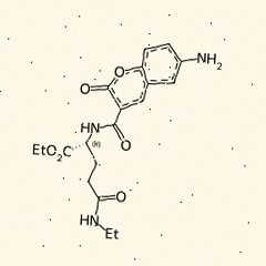 CCNC(=O)CC[C@@H](NC(=O)c1cc2cc(N)ccc2oc1=O)C(=O)OCC